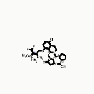 CN(N)/C(=C(\N)COc1ccc(Cl)c2c1[C@@H](CN1CCCC1=O)N(C(=O)[C@@H]1CCC[C@@H]1C(=O)O)CC2)C(F)F